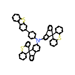 c1ccc2c(c1)Sc1ccccc1C21c2ccccc2-c2cc(N(c3ccc(-c4ccc5c(c4)sc4ccccc45)cc3)c3ccc4c(c3)C3(c5ccccc5Sc5ccccc53)c3ccccc3-4)ccc21